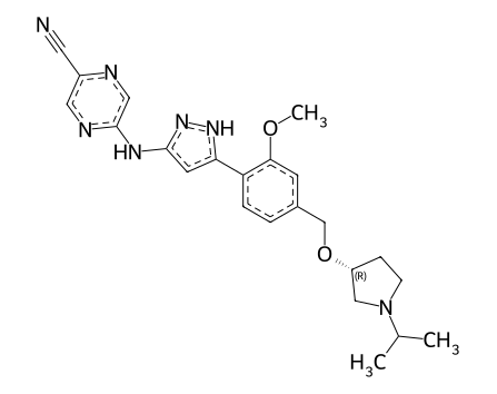 COc1cc(CO[C@@H]2CCN(C(C)C)C2)ccc1-c1cc(Nc2cnc(C#N)cn2)n[nH]1